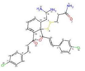 NC(=O)CCSSC1(C(=O)C=Cc2ccc(Cl)cc2)C(C(=O)C=Cc2ccc(Cl)cc2)=CC=CC1CC(N)N